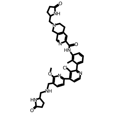 COc1nc(-c2ccnc(-c3cccc(NC(=O)c4cc5c(cn4)CN(CC4CCC(=O)N4)CC5)c3C)c2Cl)ccc1CNCC1CCC(=O)N1